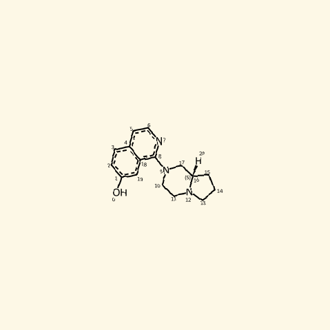 Oc1ccc2ccnc(N3CCN4CCC[C@H]4C3)c2c1